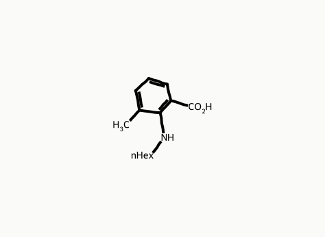 CCCCCCNc1c(C)cccc1C(=O)O